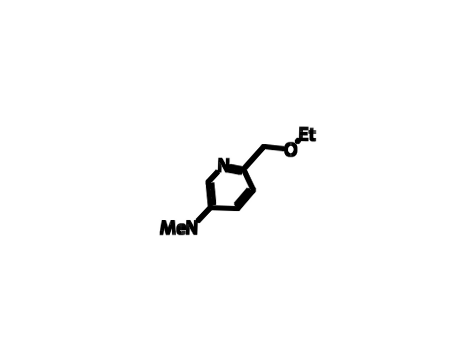 CCOCc1ccc(NC)cn1